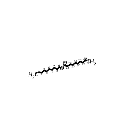 C=CCCCCCCCCOC(=O)CCCCCCCC=C